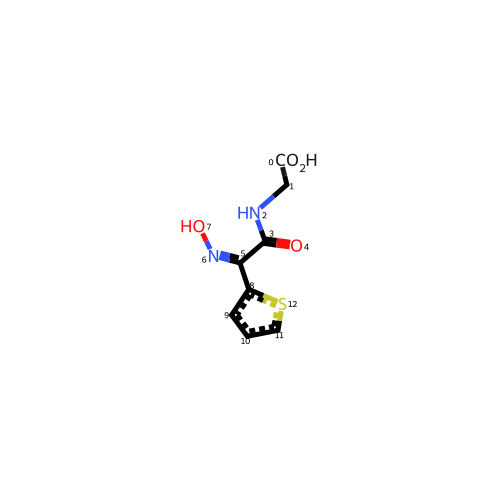 O=C(O)CNC(=O)C(=NO)c1cccs1